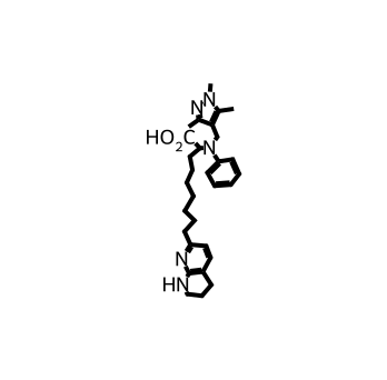 Cc1nn(C)c(C)c1CN(c1ccccc1)C(CCCCCCCc1ccc2c(n1)NCCC2)C(=O)O